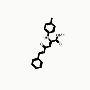 COC(=O)C(=CC(=O)C=Cc1ccccc1)Nc1ccc(C)cc1